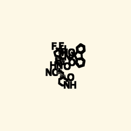 N#C[C@H](C[C@@H]1CCCNC1=O)NC(=O)[C@H]1[C@@H]2CCC(F)(F)[C@@H]2CN1C(=O)C1(O)c2ccccc2-c2ccccc21